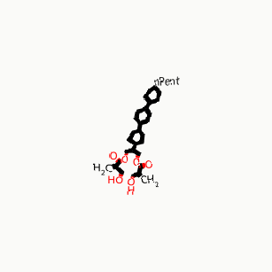 C=C(CO)C(=O)OCC(COC(=O)C(=C)CO)C1CCC(C2CCC(C3CCC(CCCCC)CC3)CC2)CC1